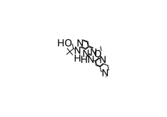 CCOc1nc2c(cc1Nc1ncc3ccnc(NC(CO)C(C)(C)C)c3n1)CN(C)CC2